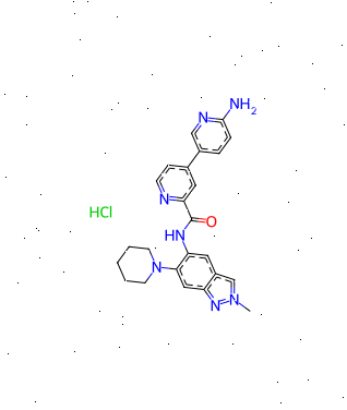 Cl.Cn1cc2cc(NC(=O)c3cc(-c4ccc(N)nc4)ccn3)c(N3CCCCC3)cc2n1